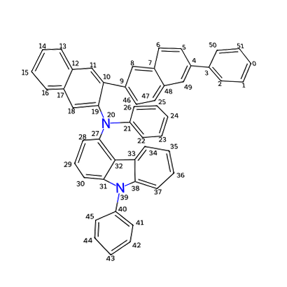 c1ccc(-c2ccc3cc(-c4cc5ccccc5cc4N(c4ccccc4)c4cccc5c4c4ccccc4n5-c4ccccc4)ccc3c2)cc1